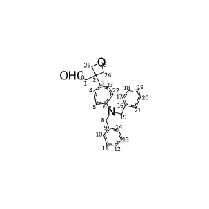 O=CCC1(c2ccc(N(Cc3ccccc3)Cc3ccccc3)cc2)COC1